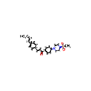 CS(=O)(=O)N1CCN(c2ccc(C(=O)C=Cc3ccc(C=CC(=O)O)cc3)cc2)CC1